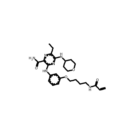 C=CC(=O)NCCCCOc1cccc(Nc2nc(NC3CCOCC3)c(CC)nc2C(N)=O)c1